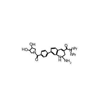 CCCN(CCC)C(=O)C1=Cc2ccc(-c3ccc(C(=O)N4CC(O)C(O)C4)cc3)cc2NC(N)C1